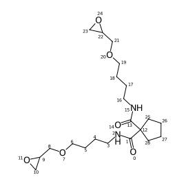 O=C(NCCCCOCC1CO1)C1(C(=O)NCCCCOCC2CO2)CCCC1